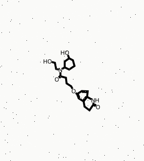 O=C1CCc2cc(OCCCC(=O)N(CCO)C3CCCC(O)C3)ccc2N1